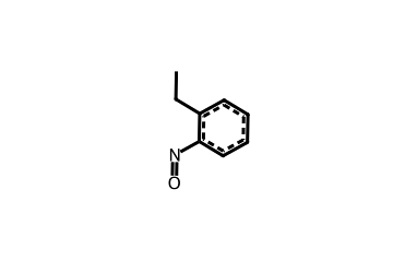 CCc1ccccc1N=O